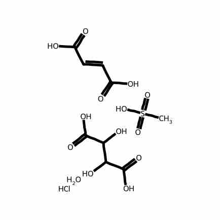 CS(=O)(=O)O.Cl.O.O=C(O)C(O)C(O)C(=O)O.O=C(O)C=CC(=O)O